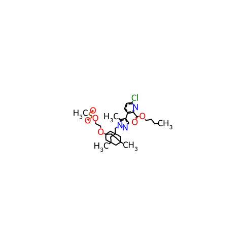 CCCCOC(=O)c1nc(Cl)ccc1-c1cnn(CC23CC4(C)CC(C)(C2)CC(OCCOS(C)(=O)=O)(C4)C3)c1C